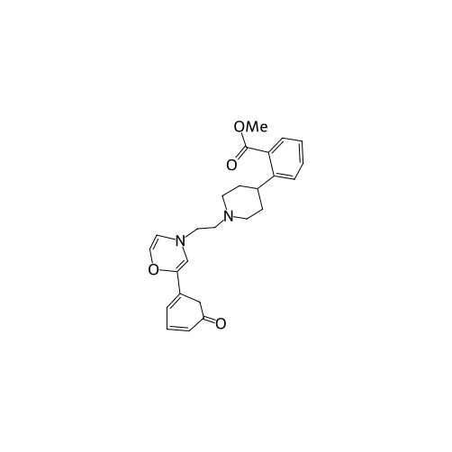 COC(=O)c1ccccc1C1CCN(CCN2C=COC(C3=CC=CC(=O)C3)=C2)CC1